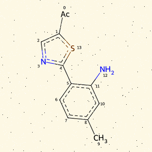 CC(=O)c1cnc(-c2ccc(C)cc2N)s1